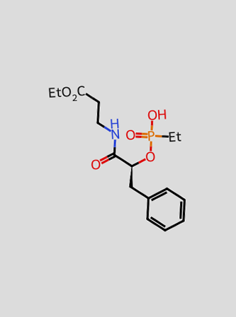 CCOC(=O)CCNC(=O)[C@H](Cc1ccccc1)OP(=O)(O)CC